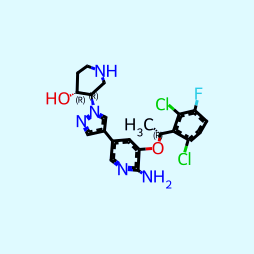 C[C@@H](Oc1cc(-c2cnn([C@@H]3CNCC[C@H]3O)c2)cnc1N)c1c(Cl)ccc(F)c1Cl